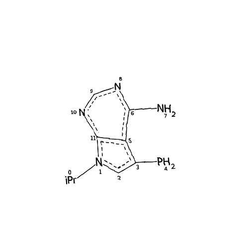 CC(C)n1cc(P)c2c(N)ncnc21